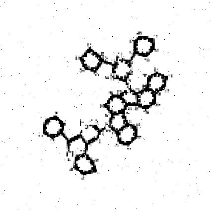 C=C(/C=C(\C=C(/C)c1ccccc1)c1ccccc1)n1c2ccccc2c2c3c4ccc5ccccc5c4n(-c4nc(-c5ccccc5)nc(-c5ccccc5)n4)c3ccc21